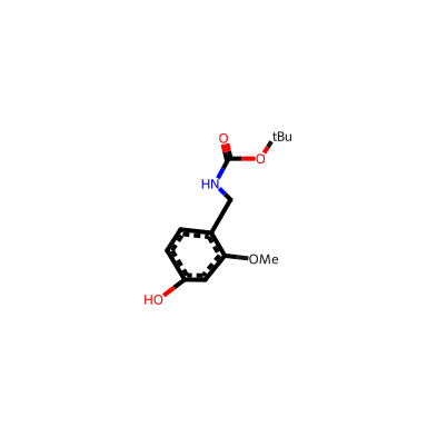 COc1cc(O)ccc1CNC(=O)OC(C)(C)C